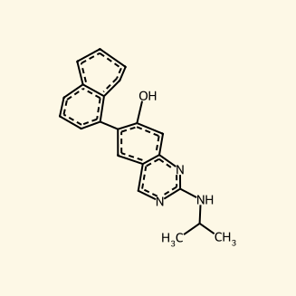 CC(C)Nc1ncc2cc(-c3cccc4ccccc34)c(O)cc2n1